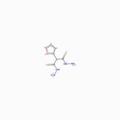 NNC(=S)C(C(=S)NN)c1ccco1